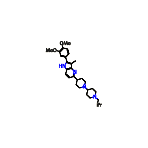 COc1ccc(-c2[nH]c3ccc(C4CCN(C5CCN(CC(C)C)CC5)CC4)nc3c2C)cc1OC